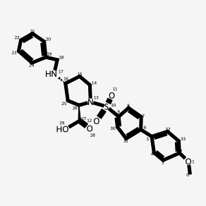 COc1ccc(-c2ccc(S(=O)(=O)N3CC[C@@H](NCc4ccccc4)C[C@@H]3C(=O)O)cc2)cc1